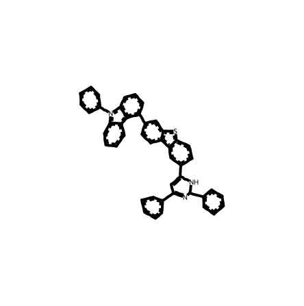 C1=C(c2ccc3sc4cc(-c5cccc6c5c5ccccc5n6-c5ccccc5)ccc4c3c2)NC(c2ccccc2)N=C1c1ccccc1